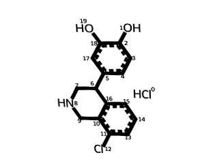 Cl.Oc1ccc(C2CNCc3c(Cl)cccc32)cc1O